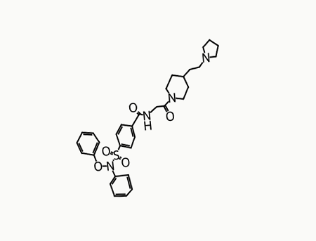 O=C(NCC(=O)N1CCC(CCN2CCCC2)CC1)c1ccc(S(=O)(=O)N(Oc2ccccc2)c2ccccc2)cc1